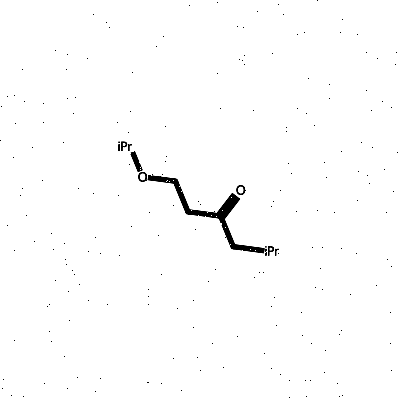 CC(C)CC(=O)CCOC(C)C